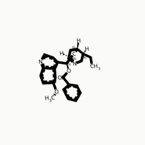 CC[C@H]1CN2CC[C@H]1C[C@@H]2[C@@H](OC(=O)c1ccccc1)c1ccnc2ccc(OC)cc12